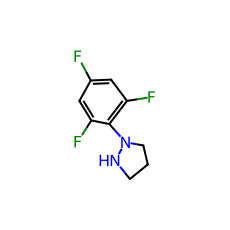 Fc1cc(F)c(N2CCCN2)c(F)c1